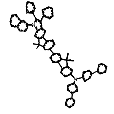 CC1(C)c2cc(-c3ccc4c(c3)C(C)(C)c3cc5c(cc3-4)c(-c3ccccc3)c(-c3ccccc3)n5-c3ccc4ccccc4c3)ccc2-c2ccc(N(c3ccc(-c4ccccc4)cc3)c3ccc(-c4ccccc4)cc3)cc21